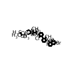 Cc1c(Nc2nccc3cc(Br)cnc23)cccc1-c1cccc(NC(=O)c2nc3c(n2C)CCN(C(=O)OC(C)(C)C)C3)c1Cl